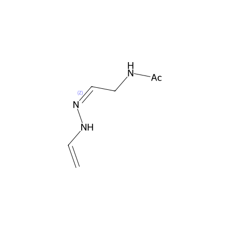 C=CN/N=C\CNC(C)=O